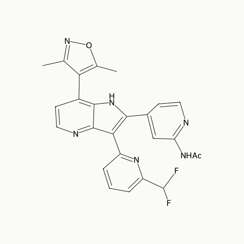 CC(=O)Nc1cc(-c2[nH]c3c(-c4c(C)noc4C)ccnc3c2-c2cccc(C(F)F)n2)ccn1